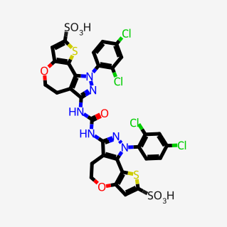 O=C(Nc1nn(-c2ccc(Cl)cc2Cl)c2c1CCOc1cc(S(=O)(=O)O)sc1-2)Nc1nn(-c2ccc(Cl)cc2Cl)c2c1CCOc1cc(S(=O)(=O)O)sc1-2